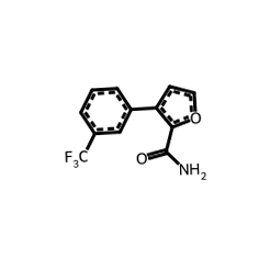 NC(=O)c1occc1-c1cccc(C(F)(F)F)c1